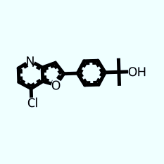 CC(C)(O)c1ccc(-c2cc3nccc(Cl)c3o2)cc1